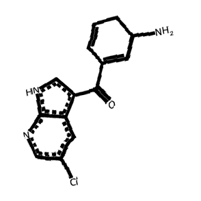 NC1C=C(C(=O)c2c[nH]c3ncc(Cl)cc23)C=CC1